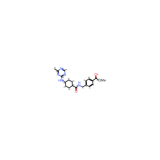 COC(=O)c1ccc(CNC(=O)C2CCC(Nc3ncnc(C)n3)CC2)cc1